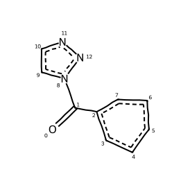 O=C(c1ccccc1)n1ccnn1